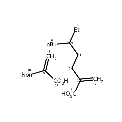 C=C(CCC(CC)CCCC)C(=O)O.C=C(CCCCCCCCC)C(=O)O